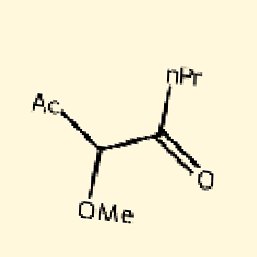 CCCC(=O)C(OC)C(C)=O